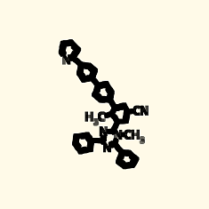 CC1C(c2ccc(-c3ccc(-c4ccccn4)cc3)cc2)=CC(C#N)=CC1C1N=C(c2ccccc2)N=C(c2ccccc2)N1C